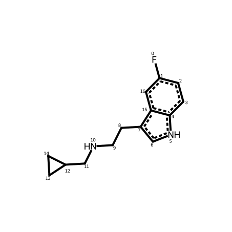 Fc1ccc2[nH]cc(CCNCC3CC3)c2c1